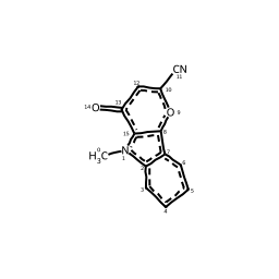 Cn1c2ccccc2c2oc(C#N)cc(=O)c21